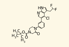 CC(C)(C)OC(=O)N1CCN(c2cccc(-c3cnc4[nH]cc(CC(F)F)c4c3Cl)c2)C(=O)C1